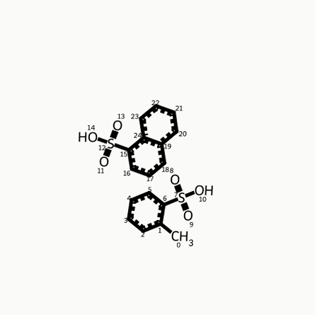 Cc1ccccc1S(=O)(=O)O.O=S(=O)(O)c1cccc2ccccc12